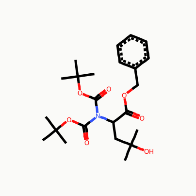 CC(C)(O)CC(C(=O)OCc1ccccc1)N(C(=O)OC(C)(C)C)C(=O)OC(C)(C)C